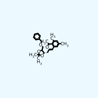 CC(=O)c1c(C)cc(C)cc1/C=C/C[C@@H]1OC(C)(C)OC1COCc1ccccc1